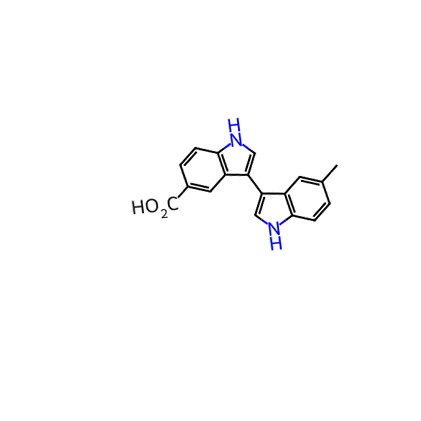 Cc1ccc2[nH]cc(-c3c[nH]c4ccc(C(=O)O)cc34)c2c1